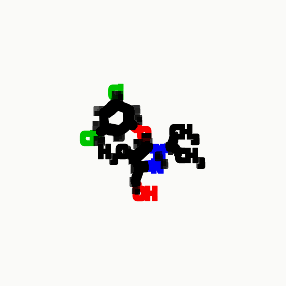 Cc1c(CO)nn(C(C)C)c1Oc1cc(Cl)cc(Cl)c1